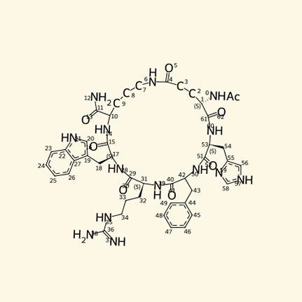 CC(=O)N[C@H]1CCC(=O)NCCCC(C(N)=O)NC(=O)[C@H](Cc2c[nH]c3ccccc23)NC(=O)[C@H](CCCNC(=N)N)NC(=O)C(Cc2ccccc2)NC(=O)[C@H](Cc2c[nH]cn2)NC1=O